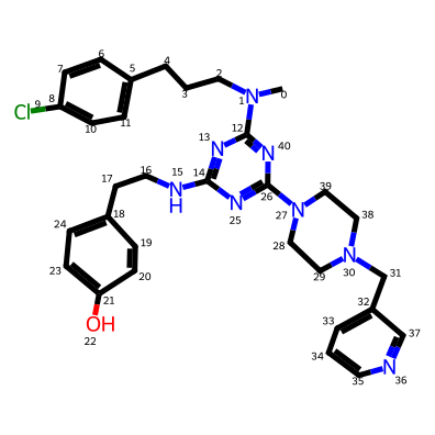 CN(CCCc1ccc(Cl)cc1)c1nc(NCCc2ccc(O)cc2)nc(N2CCN(Cc3cccnc3)CC2)n1